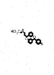 CN(CCC(Oc1cccc(C(=O)c2ccc(F)cc2)c1)c1ccccc1)CC(=O)O